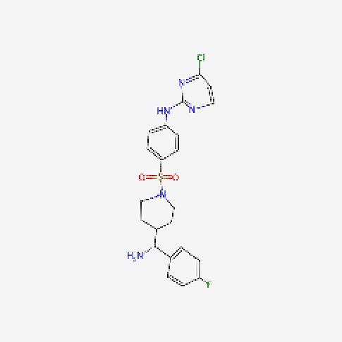 N[C@@H](c1ccc(F)cc1)C1CCN(S(=O)(=O)c2ccc(Nc3nccc(Cl)n3)cc2)CC1